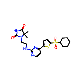 CC1(C)C(=O)NC(=O)N1CCNc1nccc(-c2ccc(S(=O)(=O)C3CCCCC3)s2)n1